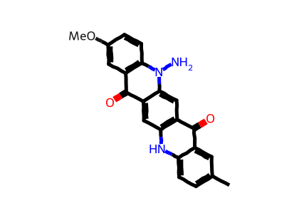 COc1ccc2c(c1)c(=O)c1cc3[nH]c4ccc(C)cc4c(=O)c3cc1n2N